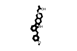 C=C(O)CN1CCC2Cc3[nH]c4c(Cc5cccc(OC)c5)cccc4c3CC2C1